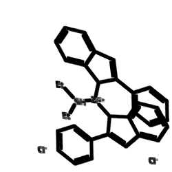 CC[SiH](CC)[Zr+2]([CH]1C(c2ccccc2)=Cc2ccccc21)[CH]1C(c2ccccc2)=Cc2ccccc21.[Cl-].[Cl-]